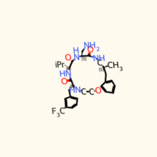 CC(C)[C@H]1NC(=O)[C@@H](Cc2cccc(C(F)(F)F)c2)NCCOc2ccccc2C[C@H](C)CNC(=O)[C@H](CN)NC1=O